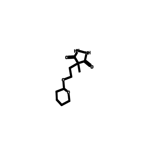 CC1(CCOC2CCCCO2)C(=O)NNC1=O